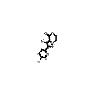 O=C1OCCn2nc(-c3ccc(F)cn3)c(Br)c21